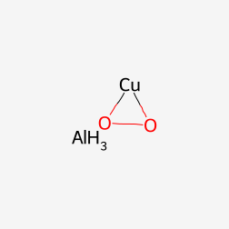 [AlH3].[O]1[O][Cu]1